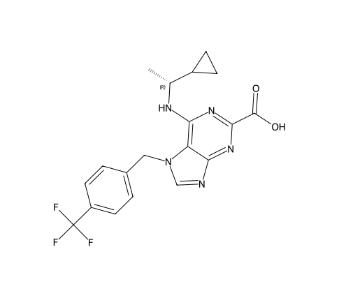 C[C@@H](Nc1nc(C(=O)O)nc2ncn(Cc3ccc(C(F)(F)F)cc3)c12)C1CC1